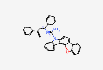 C=C(/C=C(\N=C(/N)n1c2ccccc2c2c3oc4ccccc4c3ccc21)c1ccccc1)c1ccccc1